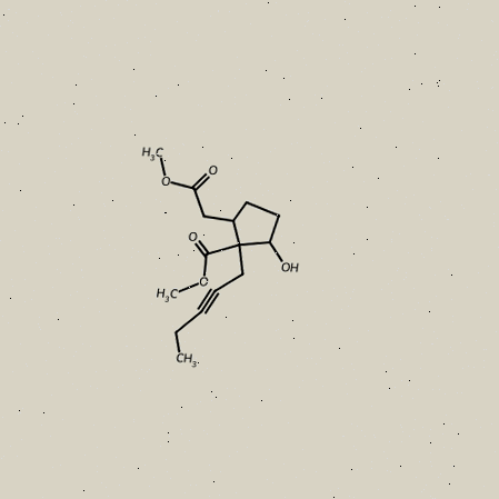 CCC#CCC1(C(=O)OC)C(O)CCC1CC(=O)OC